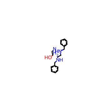 NCCO.c1ccc(CNCCNCc2ccccc2)cc1